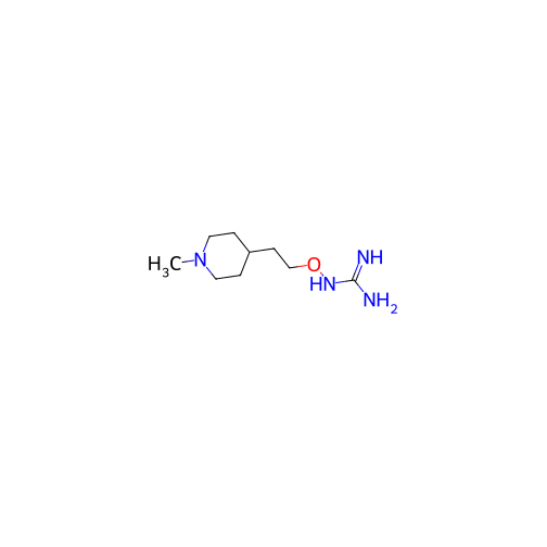 CN1CCC(CCONC(=N)N)CC1